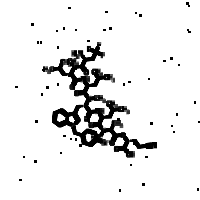 CC(C)C[C@H](NC(=O)[C@H](Cc1cn(Cc2ccc(Br)cc2)c2ccccc12)N(C)C(=O)[C@H](CC(C)C)NC(=O)[C@H](CC(C)C)N(C)C(=O)[C@@H](N)CC(F)(F)F)C(=O)N(C)[C@@H](C)C(=O)O[C@H](CCC#N)C(=O)O